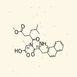 COC(=O)CC(CC(C)C)C(=O)N(C(=O)[C@@H](N)Cc1ccc2ccccc2c1)[C@@H](C)C(=O)O